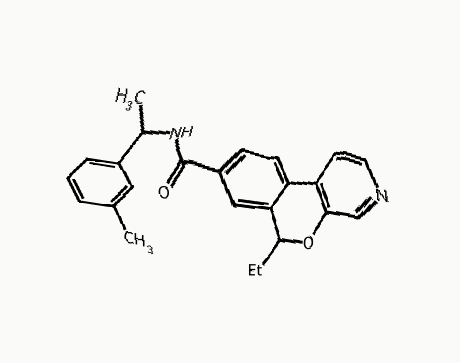 CCC1Oc2cnccc2-c2ccc(C(=O)NC(C)c3cccc(C)c3)cc21